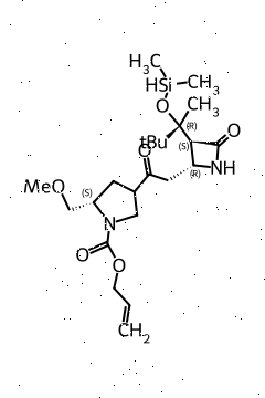 C=CCOC(=O)N1CC(C(=O)C[C@H]2NC(=O)[C@@H]2[C@@](C)(O[SiH](C)C)C(C)(C)C)C[C@H]1COC